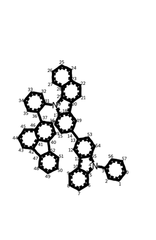 c1ccc(-n2c3ccccc3c3cc(-c4ccc5c(c4)c4ccc6ccccc6c4n5-c4ccccc4-c4ccc5c6c(cccc46)-c4ccccc4-5)ccc32)cc1